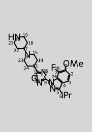 COc1ccc2c(C(C)C)nn(-c3noc(C4CCN(C5CCNCC5)CC4)n3)c2c1F